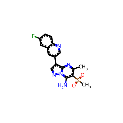 Cc1nc2c(-c3cnc4ccc(F)cc4c3)cnn2c(N)c1S(C)(=O)=O